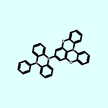 c1ccc(B2c3ccccc3N(c3cc4c5c(c3)Oc3ccccc3B5c3ccccc3O4)c3ccccc32)cc1